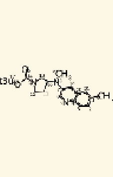 Cc1ccc2ncc(N(C)C3CCN(C(=O)OC(C)(C)C)C3)cc2c1